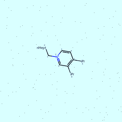 CCCCCCCC[n+]1ccc(C(C)C)c(C(C)C)c1